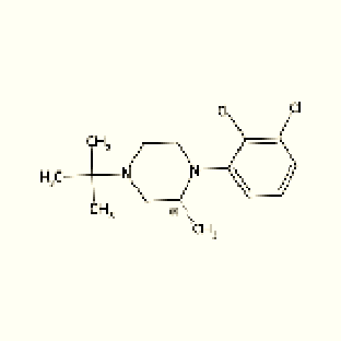 C[C@@H]1CN(C(C)(C)C)CCN1c1cccc(Cl)c1Cl